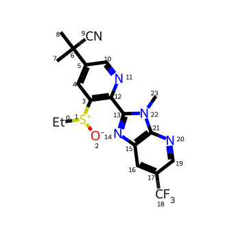 CC[S+]([O-])c1cc(C(C)(C)C#N)cnc1-c1nc2cc(C(F)(F)F)cnc2n1C